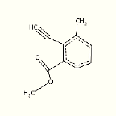 C#Cc1c(C)cccc1C(=O)OC